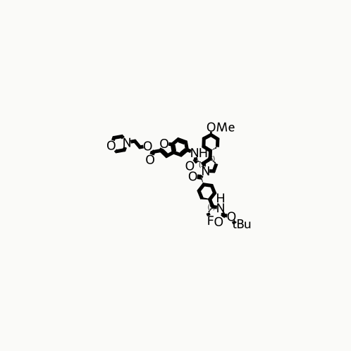 CO[C@H]1CC[C@H]([C@@H]2CCN(C(=O)[C@H]3CC[C@H]([C@@H](CF)NC(=O)OC(C)(C)C)CC3)[C@@H]2C(=O)Nc2ccc3oc(C(=O)OCCN4CCOCC4)cc3c2)CC1